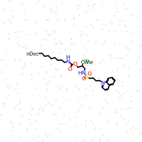 CCCCCCCCCCCCCCCCCCNC(=O)OCC(CNS(=O)(=O)CCCC[n+]1cccc2ccccc21)OC.[Cl-]